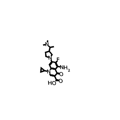 CC(C1CCN(c2cc3c(c(N)c2F)c(=O)c(C(=O)O)cn3C2CC2)C1)N(C)C